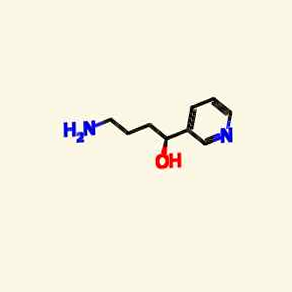 NCCC[C@H](O)c1cccnc1